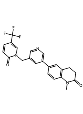 CN1C(=O)CCc2cc(-c3cncc(Cn4cc(C(F)(F)F)ccc4=O)c3)ccc21